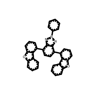 c1ccc(-n2nc3c(-c4cccc5oc6ccccc6c45)ccc(-c4cccc5oc6ccccc6c45)c3n2)cc1